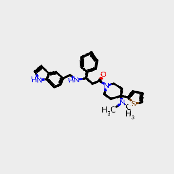 CN(C)C1(c2cccs2)CCN(C(=O)CC(NCc2ccc3[nH]ccc3c2)c2ccccc2)CC1